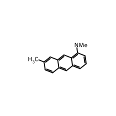 CNc1cccc2cc3ccc(C)cc3cc12